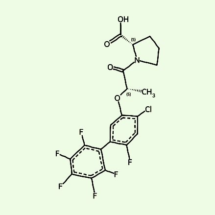 C[C@H](Oc1cc(-c2c(F)c(F)c(F)c(F)c2F)c(F)cc1Cl)C(=O)N1CCC[C@H]1C(=O)O